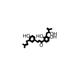 C=C(C)C(O)Cc1c(O)ccc(C(=O)C=Cc2ccc(O)c(CC=C(C)C)c2)c1O